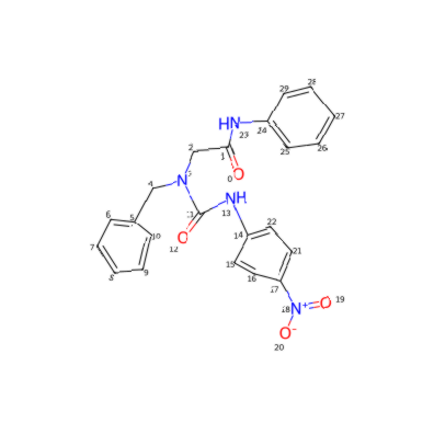 O=C(CN(Cc1ccccc1)C(=O)Nc1ccc([N+](=O)[O-])cc1)Nc1ccccc1